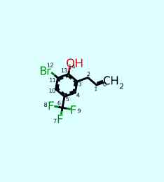 C=CCc1cc(C(F)(F)F)cc(Br)c1O